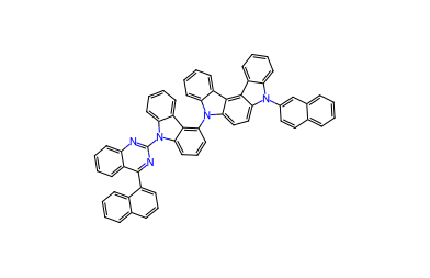 c1ccc2cc(-n3c4ccccc4c4c5c6ccccc6n(-c6cccc7c6c6ccccc6n7-c6nc(-c7cccc8ccccc78)c7ccccc7n6)c5ccc43)ccc2c1